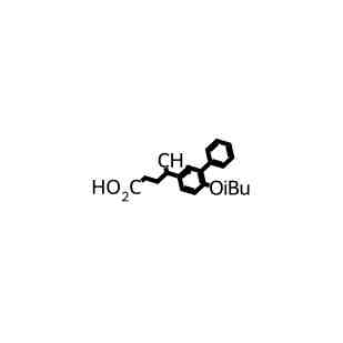 CC(C)COc1ccc(C(C)CCC(=O)O)cc1-c1ccccc1